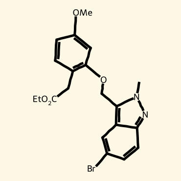 CCOC(=O)Cc1ccc(OC)cc1OCc1c2cc(Br)ccc2nn1C